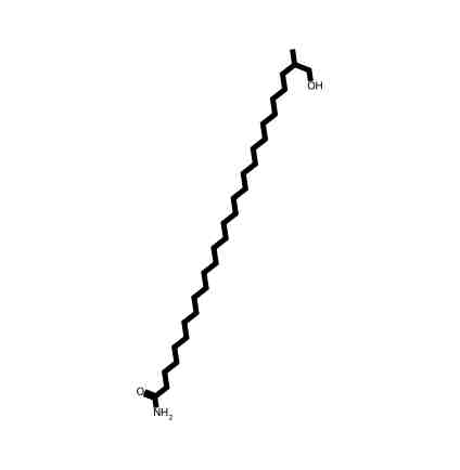 CC(CO)CCCCCCCCCCCCCCCCCCCCCCCCCCC(N)=O